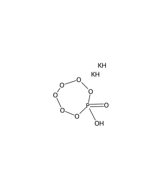 O=P1(O)OOOOOO1.[KH].[KH]